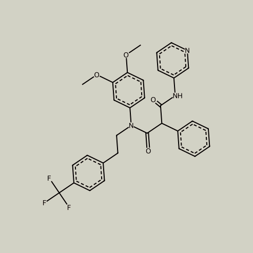 COc1ccc(N(CCc2ccc(C(F)(F)F)cc2)C(=O)C(C(=O)Nc2cccnc2)c2ccccc2)cc1OC